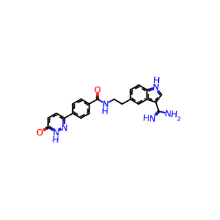 N=C(N)c1c[nH]c2ccc(CCNC(=O)c3ccc(-c4ccc(=O)[nH]n4)cc3)cc12